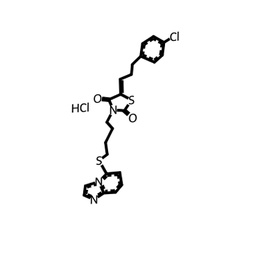 Cl.O=C1SC(=CCCc2ccc(Cl)cc2)C(=O)N1CCCCSc1cccc2nccn12